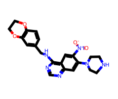 O=[N+]([O-])c1cc2c(NCc3ccc4c(c3)OCCO4)ncnc2cc1N1CCNCC1